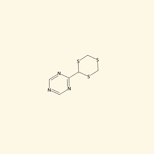 c1ncnc([C]2SCSCS2)n1